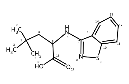 CC(C)(C)CC(Nc1nsc2ccccc12)C(=O)O